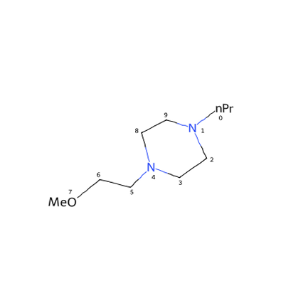 CCCN1CCN(CCOC)CC1